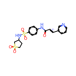 O=C(/C=C/c1cccnc1)Nc1ccc(S(=O)(=O)NC2CCS(=O)(=O)C2)cc1